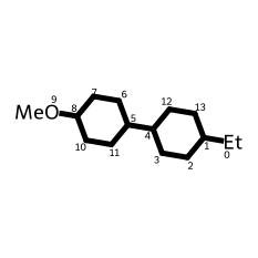 CCC1CCC(C2CCC(OC)CC2)CC1